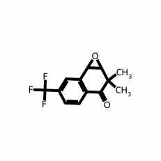 CC1(C)C(=O)c2ccc(C(F)(F)F)cc2C2OC21